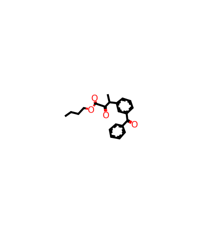 CCCCOC(=O)C(=O)C(C)c1cccc(C(=O)c2ccccc2)c1